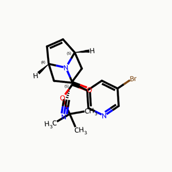 CC(C)(C)OC(=O)N1[C@@H]2C=C[C@H]1C[C@](C#N)(c1cncc(Br)c1)C2